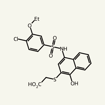 CCOc1cc(S(=O)(=O)Nc2cc(SCC(=O)O)c(O)c3ccccc23)ccc1Cl